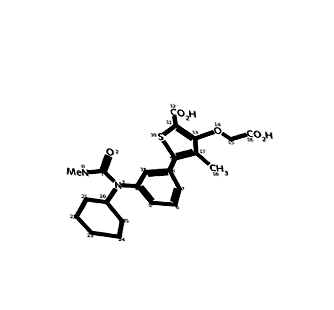 CNC(=O)N(c1cccc(-c2sc(C(=O)O)c(OCC(=O)O)c2C)c1)C1CCCCC1